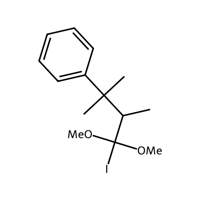 COC(I)(OC)C(C)C(C)(C)c1ccccc1